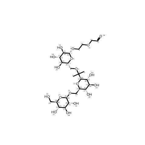 CC(C)(OC[C@H]1O[C@@H](OCCOCC=O)[C@H](O)[C@@H](O)[C@@H]1O)[C@@H]1O[C@H](CO[C@@H]2O[C@H](CO)[C@@H](O)[C@H](O)[C@H]2O)[C@@H](O)[C@H](O)[C@H]1O